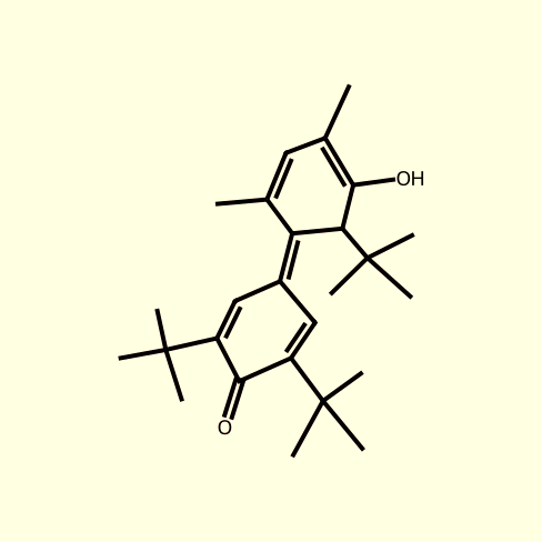 CC1=CC(C)=C(O)C(C(C)(C)C)C1=C1C=C(C(C)(C)C)C(=O)C(C(C)(C)C)=C1